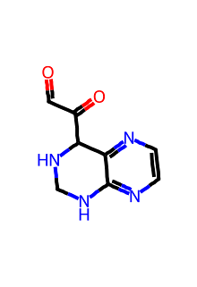 O=CC(=O)C1NCNc2nccnc21